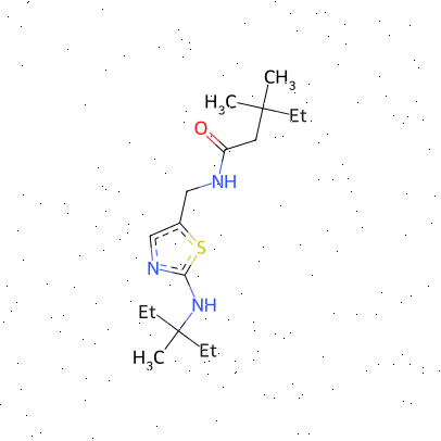 CCC(C)(C)CC(=O)NCc1cnc(NC(C)(CC)CC)s1